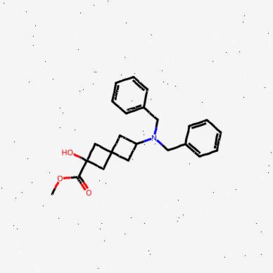 COC(=O)C1(O)CC2(CC(N(Cc3ccccc3)Cc3ccccc3)C2)C1